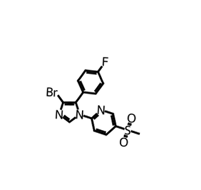 CS(=O)(=O)c1ccc(-n2cnc(Br)c2-c2ccc(F)cc2)nc1